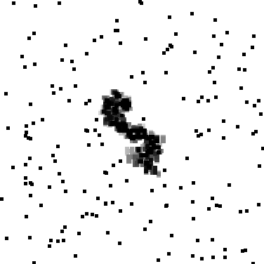 COC(=O)NC(C(=O)N1CCCC1c1nc(-c2ccc3cc(-c4ccc(-c5cnc(C6CCCN6C(=O)C(c6ccccc6)N(C6CC6)C6CC6)[nH]5)cc4)ccc3c2)c[nH]1)C(C)C